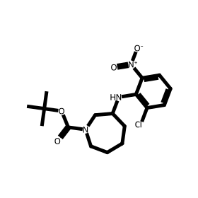 CC(C)(C)OC(=O)N1CCCCC(Nc2c(Cl)cccc2[N+](=O)[O-])C1